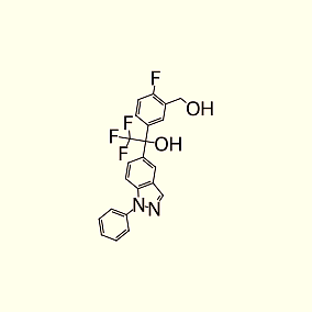 OCc1cc(C(O)(c2ccc3c(cnn3-c3ccccc3)c2)C(F)(F)F)ccc1F